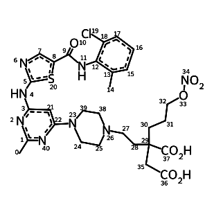 Cc1nc(Nc2ncc(C(=O)Nc3c(C)cccc3Cl)s2)cc(N2CCN(CCC(CCCO[N+](=O)[O-])(CC(=O)O)C(=O)O)CC2)n1